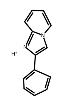 [H+].c1ccc(-c2cn3ccccc3n2)cc1